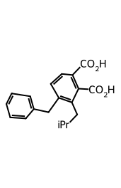 CC(C)Cc1c(Cc2ccccc2)ccc(C(=O)O)c1C(=O)O